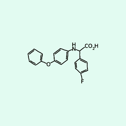 O=C(O)C(Nc1ccc(Oc2ccccc2)cc1)c1ccc(F)cc1